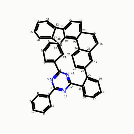 c1ccc(-c2nc(-c3ccccc3)nc(-c3ccccc3-c3ccc4c(ccc5ccc6c7ccccc7[se]c6c54)c3)n2)cc1